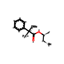 CC[C@@H](C)C[C@@H](C)OC(=O)C(OC)(c1ccccc1)C(F)(F)F